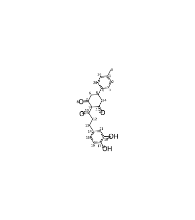 Cc1ccc(C2CC(=O)C(C(=O)CCc3ccc(O)c(O)c3)C(=O)C2)cc1